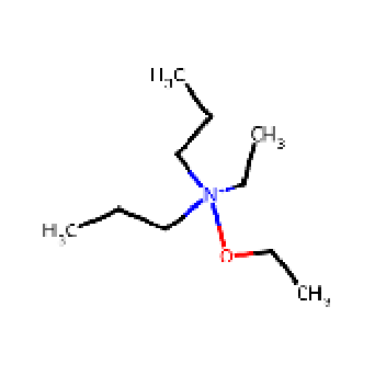 CCC[N+](CC)(CCC)OCC